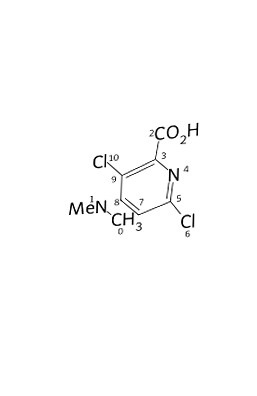 CNC.O=C(O)c1nc(Cl)ccc1Cl